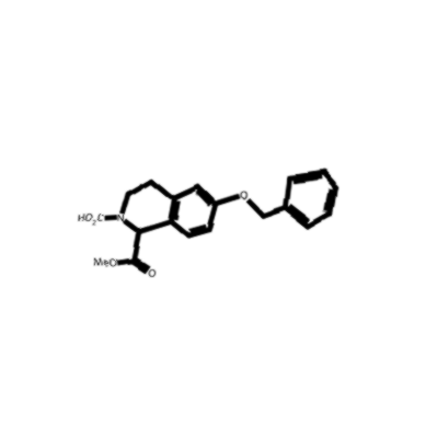 COC(=O)C1c2ccc(OCc3ccccc3)cc2CCN1C(=O)O